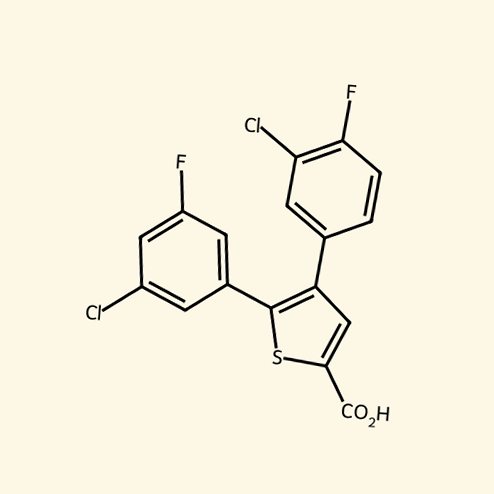 O=C(O)c1cc(-c2ccc(F)c(Cl)c2)c(-c2cc(F)cc(Cl)c2)s1